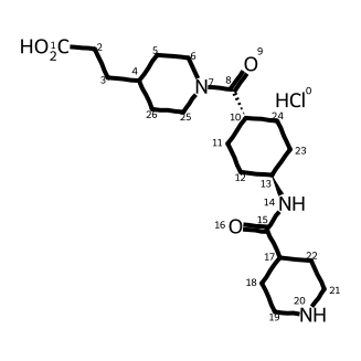 Cl.O=C(O)CCC1CCN(C(=O)[C@H]2CC[C@H](NC(=O)C3CCNCC3)CC2)CC1